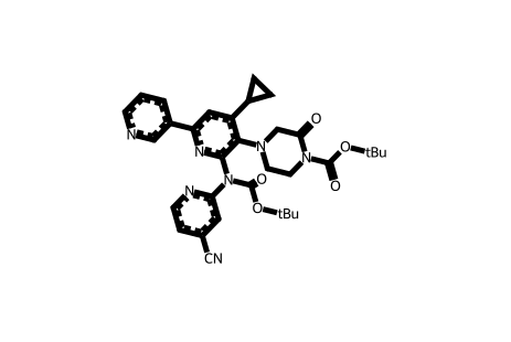 CC(C)(C)OC(=O)N1CCN(c2c(C3CC3)cc(-c3cccnc3)nc2N(C(=O)OC(C)(C)C)c2cc(C#N)ccn2)CC1=O